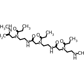 C=C(CN(CCNC(=O)CN(CCNC(=O)CN(CCNC)C(=O)CC)C(=O)CC)C(=O)CC)NC